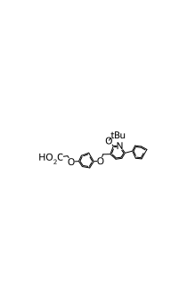 CC(C)(C)Oc1nc(-c2ccccc2)ccc1COc1ccc(OCC(=O)O)cc1